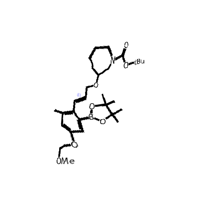 COCOc1cc(C)c(/C=C/COC2CCCCN(C(=O)OC(C)(C)C)C2)c(B2OC(C)(C)C(C)(C)O2)c1